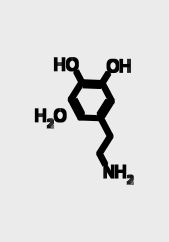 NCCc1ccc(O)c(O)c1.O